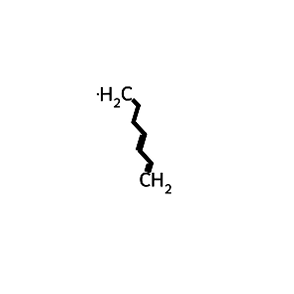 [CH2]CCC=CC=C